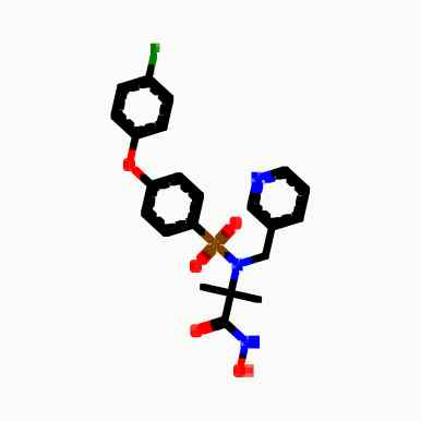 CC(C)(C(=O)NO)N(Cc1cccnc1)S(=O)(=O)c1ccc(Oc2ccc(F)cc2)cc1